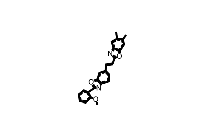 COc1ccccc1-c1nc2ccc(/C=C/c3nc4cc(C)c(C)cc4o3)cc2o1